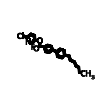 CCCCCCCc1ccc(-c2ccc(C(=O)Oc3ccc(Cl)nc3F)cc2)cc1